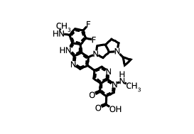 CNc1cc(F)c(F)c2c1[nH]c1ncc(-c3cnc4c(c3)c(=O)c(C(=O)O)cn4NC)c(N3CC4CCN(C5CC5)C4C3)c12